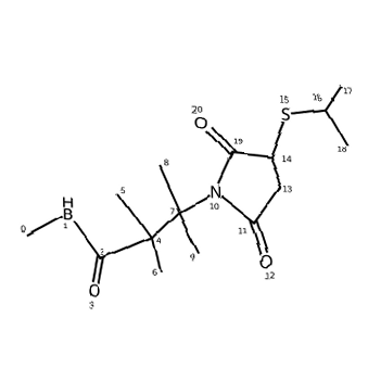 CBC(=O)C(C)(C)C(C)(C)N1C(=O)CC(SC(C)C)C1=O